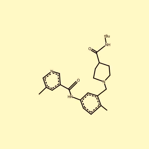 Cc1cncc(C(=O)Nc2ccc(C)c(CN3CCC(C(=O)NC(C)(C)C)CC3)c2)c1